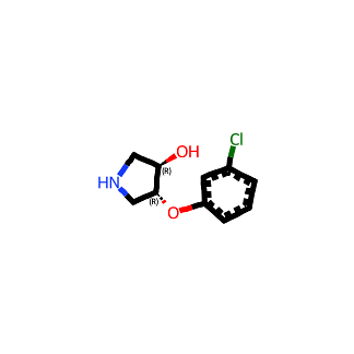 O[C@@H]1CNC[C@H]1Oc1cccc(Cl)c1